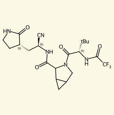 CC(C)(C)[C@H](NC(=O)C(F)(F)F)C(=O)N1CC2CC2C1C(=O)N[C@H](C#N)C[C@@H]1CCNC1=O